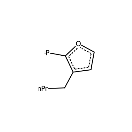 CCCCc1ccoc1[P]